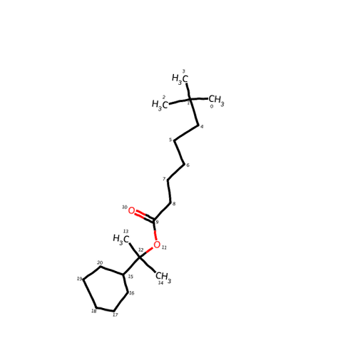 CC(C)(C)CCCCCC(=O)OC(C)(C)C1CCCCC1